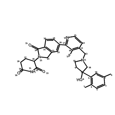 Cc1ccc(C)c(C2(O)CCN(Cc3ccnc(-c4ccc5c(c4)CN(C4CCC(=O)NC4=O)C5=O)c3F)C2)c1